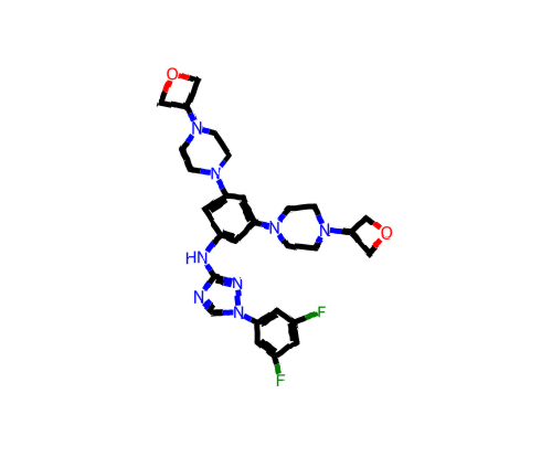 Fc1cc(F)cc(-n2cnc(Nc3cc(N4CCN(C5COC5)CC4)cc(N4CCN(C5COC5)CC4)c3)n2)c1